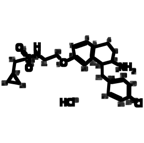 Cl.NC1CCc2ccc(OCCNS(=O)(=O)CC3CC3)cc2C1Cc1ccc(Cl)cc1